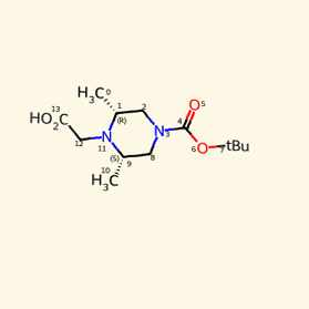 C[C@@H]1CN(C(=O)OC(C)(C)C)C[C@H](C)N1CC(=O)O